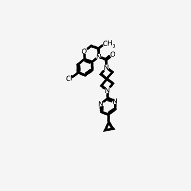 CC1COc2cc(Cl)ccc2N1C(=O)N1CC2(C1)CN(c1ncc(C3CC3)cn1)C2